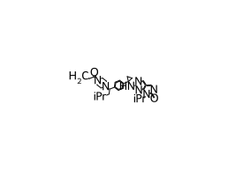 C=CC(=O)N1CCN(C(CC(C)C)c2ccc(C3(Nc4ncc5cnc(=O)n(C(C)C)c5n4)CC3)cc2)CC1